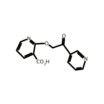 O=C(COc1ncccc1C(=O)O)c1cccnc1